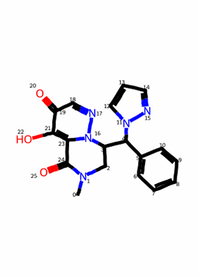 CN1CC(C(c2ccccc2)n2cccn2)n2ncc(=O)c(O)c2C1=O